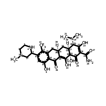 CN1CCNC(c2cc(O)c3c(c2C(F)(F)F)C[C@H]2C[C@H]4[C@H](N(C)C)C(O)=C(C(N)=O)C(=O)[C@@]4(O)C(O)=C2C3=O)C1